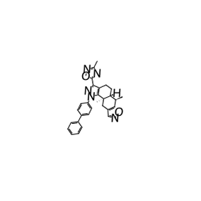 Cc1noc(-c2nn(-c3ccc(-c4ccccc4)cc3)c3c2CC[C@@H]2[C@@H](C)c4oncc4C[C@@]32C)n1